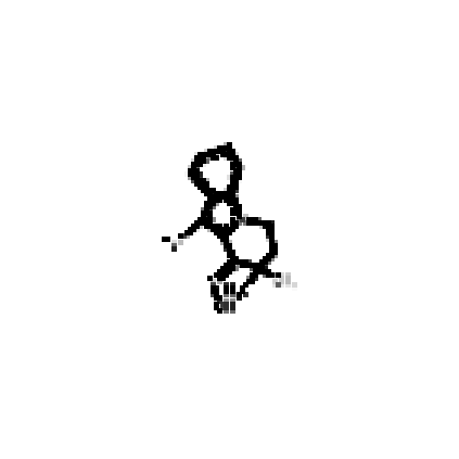 Cc1c2n(c3ccccc13)CCC(C)(C)/C2=N\O